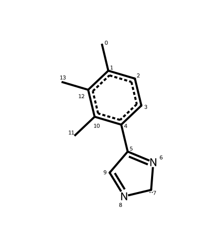 Cc1ccc(C2=N[C]N=C2)c(C)c1C